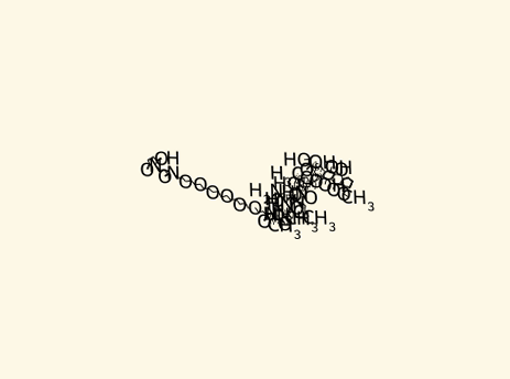 COc1cccc2c1C(=O)c1c(O)c3c(c(O)c1C2=O)C[C@@](O)(C(=O)CO)C[C@@H]3O[C@H]1C[C@H](NC(=O)C(CC(C)C)NC(=O)[C@@H](CC(N)=O)NC(=O)[C@@H](C)NC(=O)[C@@H](C)NC(=O)CCOCCOCCOCCOCCOCCOCCNC(=O)CCN2C(=O)C=CC2=O)[C@H](O)[C@H](C)O1